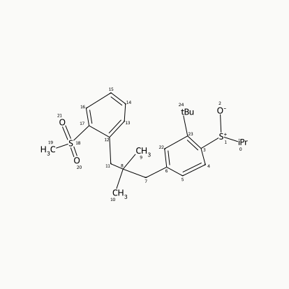 CC(C)[S+]([O-])c1ccc(CC(C)(C)Cc2ccccc2S(C)(=O)=O)cc1C(C)(C)C